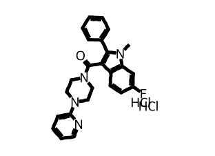 Cl.Cl.Cn1c(-c2ccccc2)c(C(=O)N2CCN(c3ccccn3)CC2)c2ccc(F)cc21